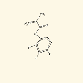 C=C(C)C(=O)Oc1ccc(F)c(F)c1F